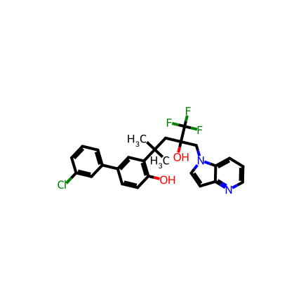 CC(C)(CC(O)(Cn1ccc2ncccc21)C(F)(F)F)c1cc(-c2cccc(Cl)c2)ccc1O